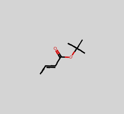 CC=CC(=O)OC(C)(C)C